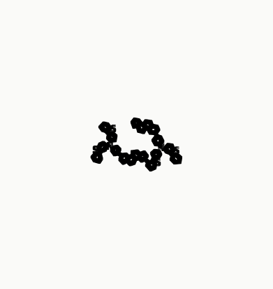 c1ccc2c(c1)ccc1c3cc(-c4ccc(N(c5ccc6c(c5)sc5cccc(-c7ccc8ccc9c%10cc(-c%11ccc(N(c%12ccc%13sc%14ccccc%14c%13c%12)c%12ccc%13sc%14ccccc%14c%13c%12)cc%11)ccc%10ccc9c8c7)c56)c5ccc6sc7ccccc7c6c5)cc4)ccc3ccc21